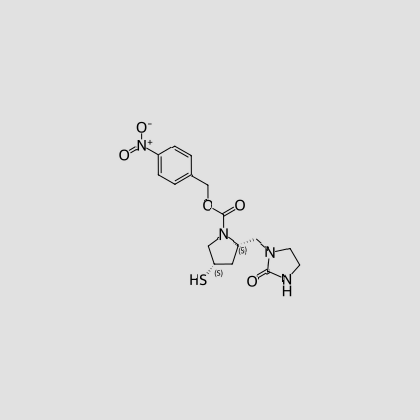 O=C1NCCN1C[C@@H]1C[C@H](S)CN1C(=O)OCc1ccc([N+](=O)[O-])cc1